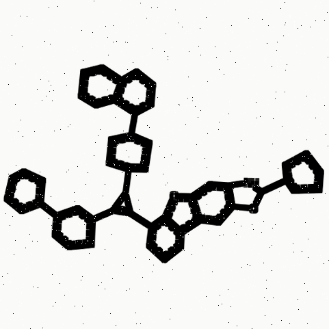 c1ccc(-c2cccc(C3=C(c4cccc5c4oc4cc6c(cc45)OC(c4ccccc4)N6)C3c3ccc(-c4cccc5ccccc45)cc3)c2)cc1